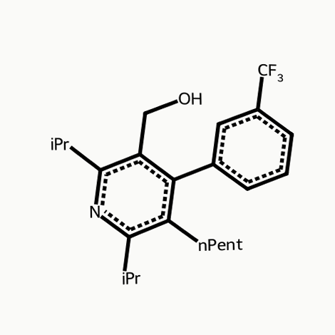 CCCCCc1c(C(C)C)nc(C(C)C)c(CO)c1-c1cccc(C(F)(F)F)c1